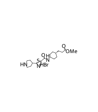 Br.COC(=O)CC[C@H]1CC[C@H](NC(=O)c2cnc(C3CCNCC3)s2)CC1